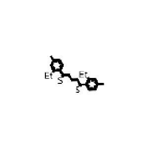 CCc1cc(C)ccc1C(=S)CCCC(=S)c1ccc(C)cc1CC